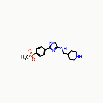 CS(=O)(=O)c1ccc(C2=NCC(NCC3CCNCC3)=N2)cc1